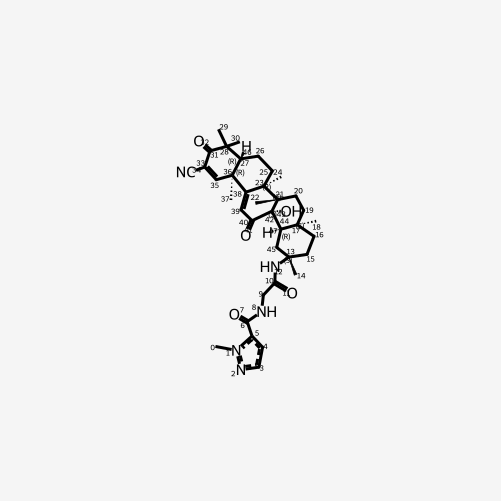 Cn1nccc1C(=O)NCC(=O)N[C@@]1(C)CC[C@]2(C)CC[C@@]3(C)[C@]4(C)CC[C@H]5C(C)(C)C(=O)C(C#N)=C[C@]5(C)C4=CC(=O)[C@]3(O)[C@@H]2C1